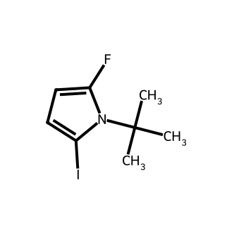 CC(C)(C)n1c(F)ccc1I